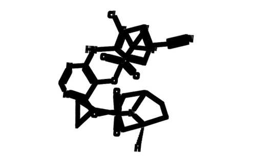 N#Cc1ccc(Nc2ncnc(O[C@H]3CC4CC[C@@H](C3)N4S(=O)(=O)C3CC3)c2OS(=O)(=O)C(F)(F)F)c(Cl)c1